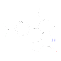 CCc1ccc2[nH]c(=O)c3sccc3c2c1-c1ccc(C(F)F)cc1